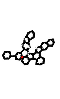 c1ccc(-c2cccc(-c3nc4oc5ccccc5c4nc3-n3c4ccccc4c4c5ccccc5c5c6cc7ccccc7cc6sc5c43)c2)cc1